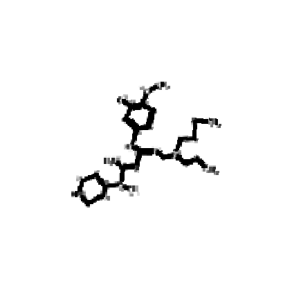 CCCCN(CCC)C/N=C(\N=C(/N)N(C)C1CCNCC1)Nc1ccc(OC)c(Cl)c1